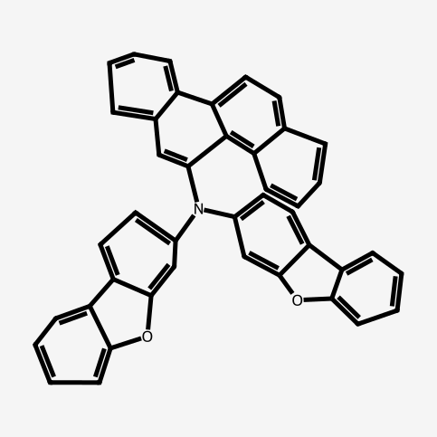 c1ccc2c(c1)cc(N(c1ccc3c(c1)oc1ccccc13)c1ccc3c(c1)oc1ccccc13)c1c3ccccc3ccc21